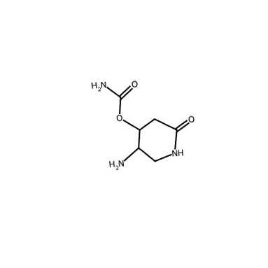 NC(=O)OC1CC(=O)NCC1N